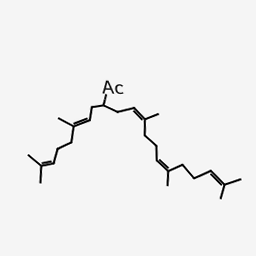 CC(=O)C(CC=C(C)CCC=C(C)CCC=C(C)C)C/C=C(\C)CCC=C(C)C